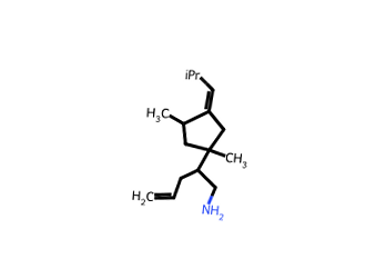 C=CCC(CN)C1(C)C/C(=C/C(C)C)C(C)C1